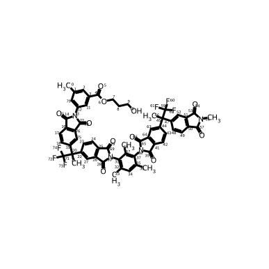 Cc1cc(C(=O)OCCCO)cc(N2C(=O)c3ccc(C(C)(c4ccc5c(c4)C(=O)N(c4c(C)cc(C)c(N6C(=O)c7ccc(C(C)(c8ccc9c(c8)C(=O)N(C)C9=O)C(F)(F)F)cc7C6=O)c4C)C5=O)C(F)(F)F)cc3C2=O)c1